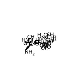 Cc1nc2c(c(C#CCN)cn2[C@H]2C[C@@H](OCSSC(C)(C)C)[C@@H](COP(=O)(O)OP(=O)(O)OP(=O)(O)O)O2)c(=O)[nH]1